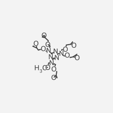 COCN(COCC1CO1)c1nc(N(COCC2CO2)COCC2CO2)nc(N(COCC2CO2)COCC2CO2)n1